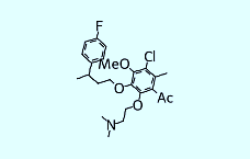 COc1c(Cl)c(C)c(C(C)=O)c(OCCN(C)C)c1OCCC(C)c1ccc(F)cc1